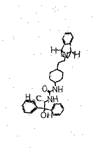 C[C@H](NC(=O)NC1CCC(CCN2[C@@H]3CC[C@H]2c2ccccc23)CC1)C(O)(c1ccccc1)c1ccccc1